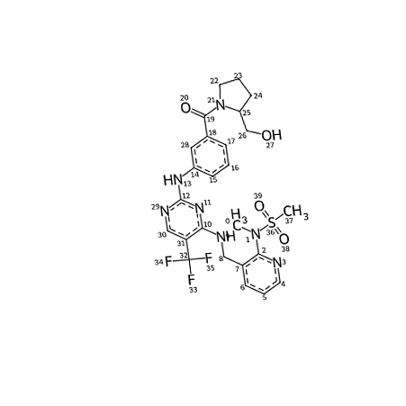 CN(c1ncccc1CNc1nc(Nc2cccc(C(=O)N3CCCC3CO)c2)ncc1C(F)(F)F)S(C)(=O)=O